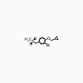 CS(=O)(=O)Cc1ccc(OCC2CC2)c(Br)c1